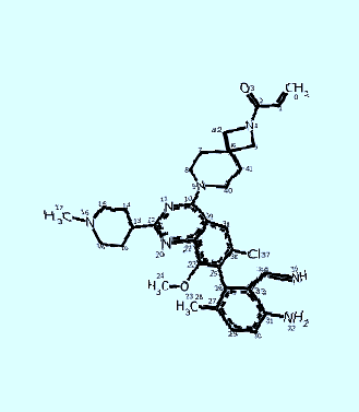 C=CC(=O)N1CC2(CCN(c3nc(C4CCN(C)CC4)nc4c(OC)c(-c5c(C)ccc(N)c5C=N)c(Cl)cc34)CC2)C1